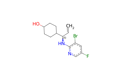 C=C[C@@H](Nc1ncc(F)cc1Br)C1CCC(O)CC1